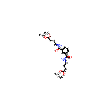 COC(CCCNC(=O)c1cccc(C(=O)NCCCC(OC)OC)c1)OC